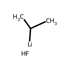 F.[Li][CH](C)C